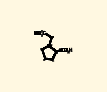 O=C(O)CN1CCCC1C(=O)O